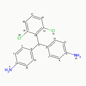 Nc1ccc(C(c2ccc(N)cc2)c2c(Cl)cccc2Cl)cc1